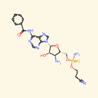 N#CCCOP(N)(=S)OC[C@H]1O[C@@H](n2cnc3c(NC(=O)c4ccccc4)ncnc32)[C@H](O)[C@@H]1N